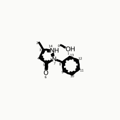 CO.Cc1cc(=O)n(-c2ccccc2)[nH]1